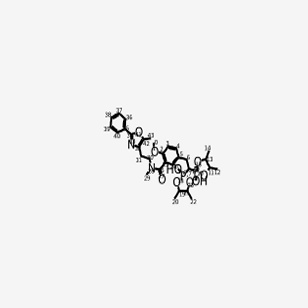 COc1ccc(CC([P]2(O)OC(C)C(C)O2)[P]2(O)OC(C)C(C)O2)cc1C(=O)N(C)CCc1nc(-c2ccccc2)oc1C